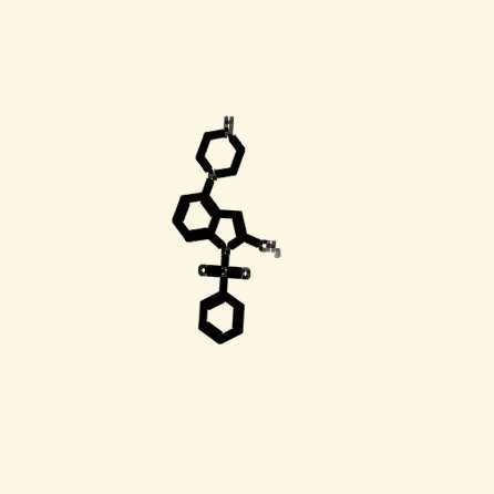 Cc1cc2c(N3CCNCC3)cccc2n1S(=O)(=O)c1ccccc1